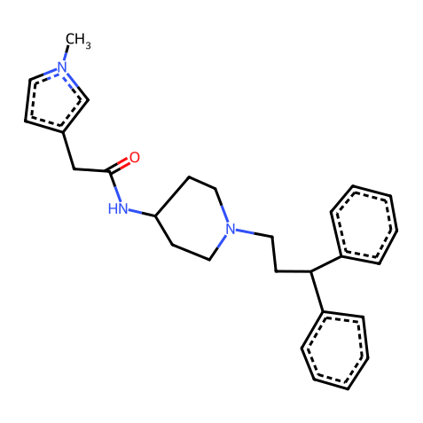 Cn1ccc(CC(=O)NC2CCN(CCC(c3ccccc3)c3ccccc3)CC2)c1